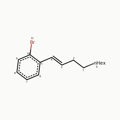 CCCCCCCCC=Cc1ccccc1Br